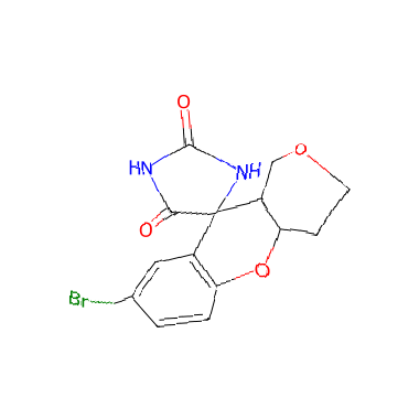 O=C1NC(=O)C2(N1)c1cc(Br)ccc1OC1CCOCC12